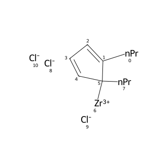 CCCC1=CC=C[C]1([Zr+3])CCC.[Cl-].[Cl-].[Cl-]